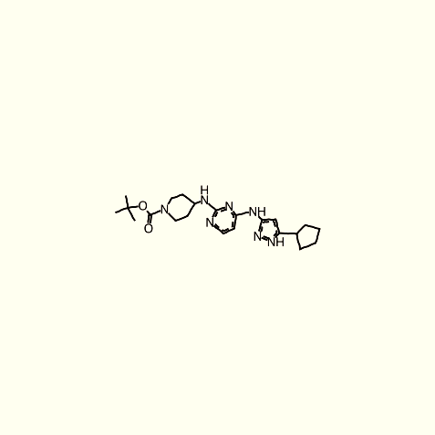 CC(C)(C)OC(=O)N1CCC(Nc2nccc(Nc3cc(C4CCCC4)[nH]n3)n2)CC1